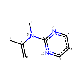 C=C(C)N(C)c1ncccn1